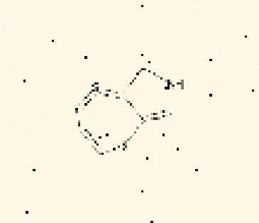 C1=CSC2=CNCC2=S=C1